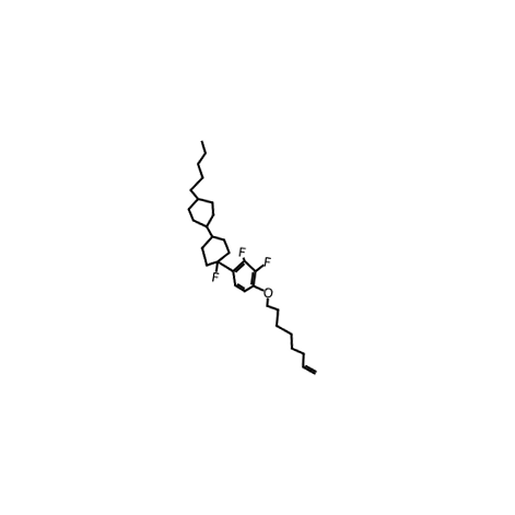 C=CCCCCCCOc1ccc(C2(F)CCC(C3CCC(CCCCC)CC3)CC2)c(F)c1F